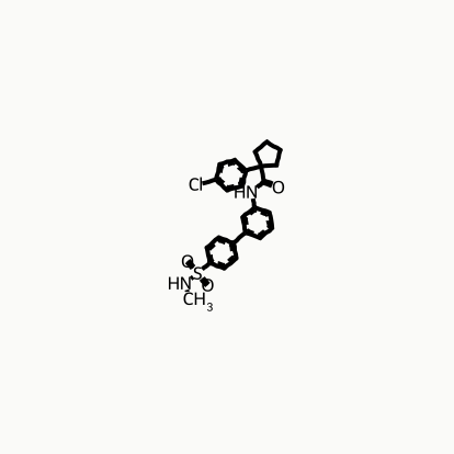 CNS(=O)(=O)c1ccc(-c2cccc(NC(=O)C3(c4ccc(Cl)cc4)CCCC3)c2)cc1